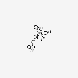 CN(C)C[C@@H]1Cc2cc(Cl)ccc2N(C(=O)[C@@H](Cc2c[nH]c3ccccc23)NC(=O)CCC2CCN(C(=O)c3ccccc3C(F)(F)F)CC2)C1